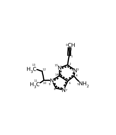 C#Cc1nc(N)c2ncn(C(C)CC)c2n1